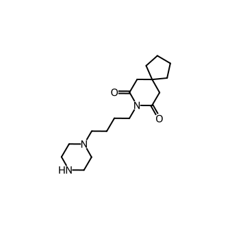 O=C1CC2(CCCC2)CC(=O)N1CCCCN1CCNCC1